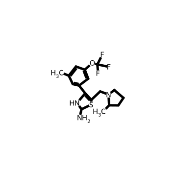 Cc1cc(OC(F)(F)F)cc(C2=C(CN3CCCC3C)SC(N)N2)c1